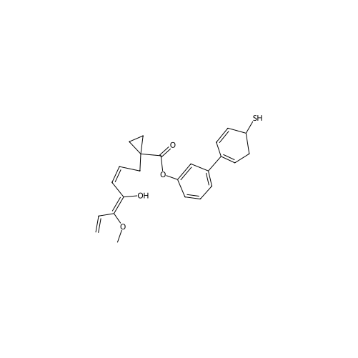 C=C/C(OC)=C(O)\C=C/CC1(C(=O)Oc2cccc(C3=CCC(S)C=C3)c2)CC1